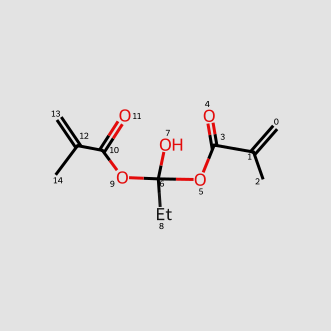 C=C(C)C(=O)OC(O)(CC)OC(=O)C(=C)C